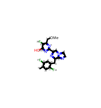 COCc1nc(-c2cn3ccnc3c(Cc3cc(F)c(C)cc3F)n2)nc(O)c1F